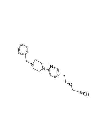 C#CCOCCc1ccc(N2CCN(Cc3ccccc3)CC2)nc1